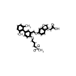 Cc1cccc(C)c1-c1ccc(OCCCS(C)(=O)=O)c(COc2ccc3c(c2)OC[C@H]3CC(=O)O)c1